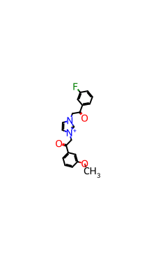 COc1cccc(C(=O)C[n+]2ccn(CC(=O)c3cccc(F)c3)c2)c1